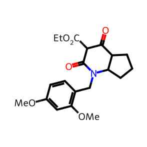 CCOC(=O)C1C(=O)C2CCCC2N(Cc2ccc(OC)cc2OC)C1=O